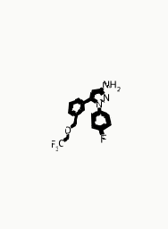 Nc1cc(-c2cccc(COCC(F)(F)F)c2)n(-c2ccc(F)cc2)n1